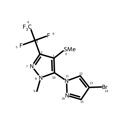 CSc1c(C(F)(F)C(F)(F)F)nn(C)c1-n1cc(Br)cn1